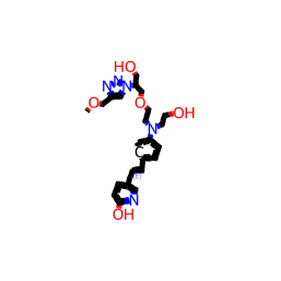 COCc1cn(C(CO)COCCN(CCO)c2ccc(/C=C/c3ccc(O)nc3)cc2)nn1